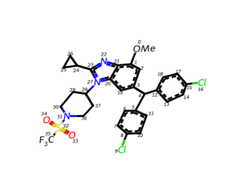 COc1cc(C(c2ccc(Cl)cc2)c2ccc(Cl)cc2)cc2c1nc(C1CC1)n2C1CCN(S(=O)(=O)C(F)(F)F)CC1